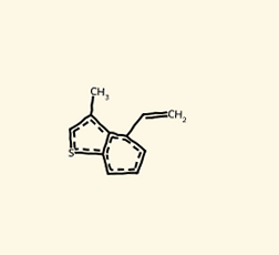 C=Cc1cccc2scc(C)c12